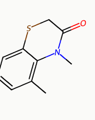 Cc1cccc2c1N(C)C(=O)CS2